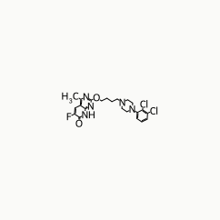 Cc1nc(OCCCCN2CCN(c3cccc(Cl)c3Cl)CC2)nc2[nH]c(=O)c(F)cc12